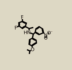 CC(C)Oc1ccc(C(NC(C)c2cc(F)cc(F)c2)c2cccc([N+](=O)[O-])c2)cc1